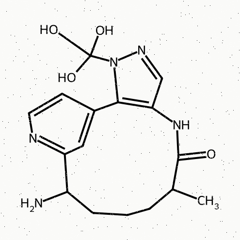 CC1CCCC(N)c2cc(ccn2)-c2c(cnn2C(O)(O)O)NC1=O